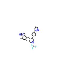 Cc1cc(C)c2[nH]ccc2c1CC1CCN(CC(F)(F)F)CC1c1ccc(-n2cccn2)cc1